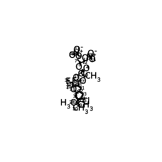 CC(OC(=O)OC(CO[N+](=O)[O-])CO[N+](=O)[O-])OC(=O)C1=Cc2cc(Cl)c(C(C)(C)C)cc2O[C@@H]1C(F)(F)F